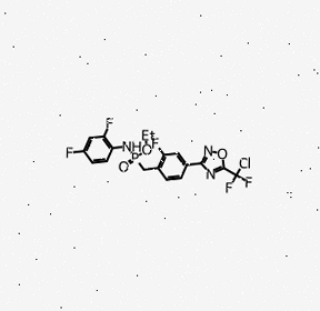 CCOP(=O)(Cc1ccc(-c2noc(C(F)(F)Cl)n2)cc1F)Nc1ccc(F)cc1F